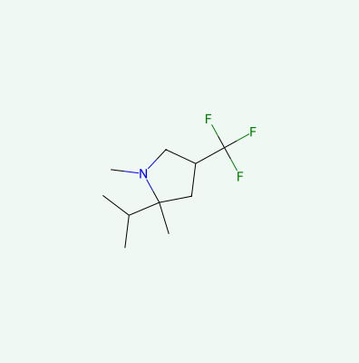 CC(C)C1(C)CC(C(F)(F)F)CN1C